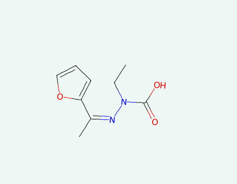 CCN(/N=C(/C)c1ccco1)C(=O)O